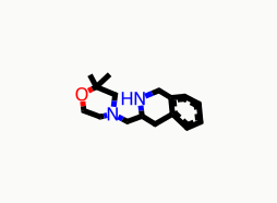 CC1(C)CN(CC2Cc3ccccc3CN2)CCO1